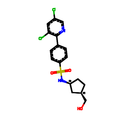 O=S(=O)(N[C@H]1CC[C@@H](CO)C1)c1ccc(-c2ncc(Cl)cc2Cl)cc1